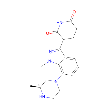 C[C@H]1CN(c2cccc3c(C4CCC(=O)NC4=O)nn(C)c23)CCN1